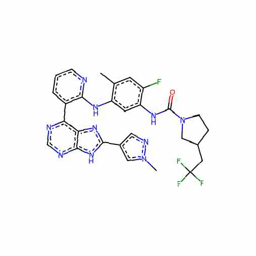 Cc1cc(F)c(NC(=O)N2CCC(CC(F)(F)F)C2)cc1Nc1ncccc1-c1ncnc2[nH]c(-c3cnn(C)c3)nc12